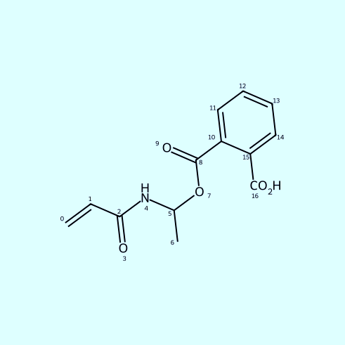 C=CC(=O)NC(C)OC(=O)c1ccccc1C(=O)O